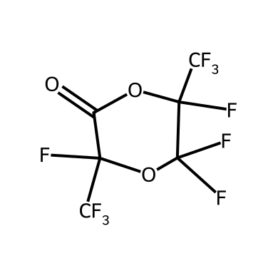 O=C1OC(F)(C(F)(F)F)C(F)(F)OC1(F)C(F)(F)F